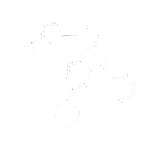 FC(F)(F)c1nc(-c2ccc(CN(c3cnccn3)c3cccc(N4CCOCC4)n3)s2)no1